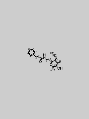 CCC1O[C@@H](OCNC(=O)OCc2ccccc2)C(N=[N+]=[N-])[C@@H](C)[C@@H]1O